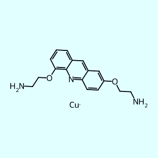 NCCOc1ccc2nc3c(OCCN)cccc3cc2c1.[Cu]